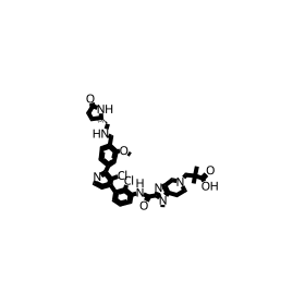 COc1cc(-c2nccc(-c3cccc(NC(=O)c4nc5c(n4C)CCN(CC(C)(C)C(=O)O)C5)c3Cl)c2Cl)ccc1CNC[C@@H]1CCC(=O)N1